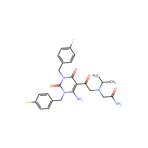 CC(C)N(CC(N)=O)CC(=O)c1c(N)n(Cc2ccc(F)cc2)c(=O)n(Cc2ccc(F)cc2)c1=O